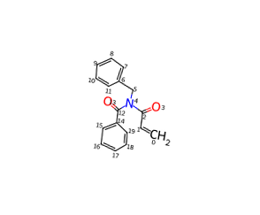 C=CC(=O)N(Cc1ccccc1)C(=O)c1ccccc1